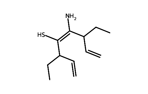 C=CC(CC)/C(N)=C(/S)C(C=C)CC